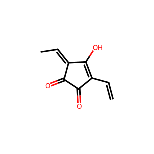 C=CC1=C(O)/C(=C/C)C(=O)C1=O